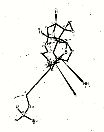 CC1CC[C@@]23COC[C@@H](N)[C@H](C)CCO[C@@H]([C@@H](C)O[Si](C)(C)C(C)(C)C)CCCCCO[C@@H]4C[C@@H](O[C@@H]2C1)[C@@]1(CO1)[C@]43C